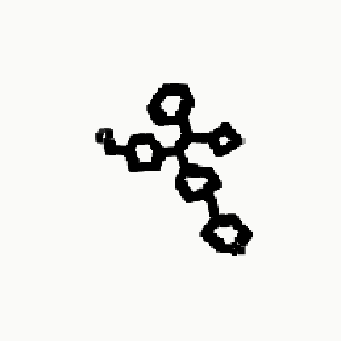 O=Cc1ccc(C(=C(c2ccccc2)C2CCC2)c2ccc(-c3ccncc3)cc2)cc1